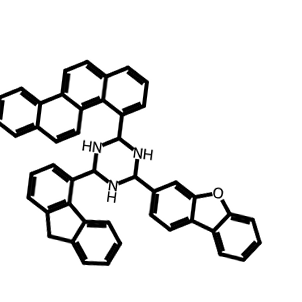 c1ccc2c(c1)Cc1cccc(C3NC(c4ccc5c(c4)oc4ccccc45)NC(c4cccc5ccc6c7ccccc7ccc6c45)N3)c1-2